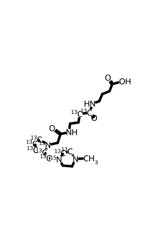 CN1CC[15N]([13CH2][13CH]2[13CH2][13CH2][13CH2][15N]2CC(=O)NCC[13CH2][13C](=O)NCCCC(=O)O)[13CH2][13CH2]1